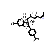 C/C=C\C=CC(C(=O)O)[C@@H](O)[C@@]1(O)c2ncc(Cl)cc2O[C@]1(C)c1ccc(C(F)F)cc1